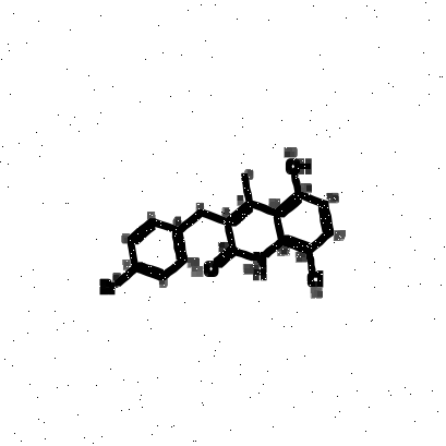 Cc1c(Cc2ccc(Br)cc2)c(=O)[nH]c2c(Cl)ccc(O)c12